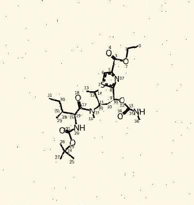 CCOC(=O)c1csc([C@@H](C[C@H](C(C)C)N(C)C(=O)[C@@H](NC(=O)OC(C)(C)C)[C@@H](C)CC)OC(=O)NC)n1